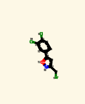 Clc1ccc(-c2cc(CBr)no2)cc1Cl